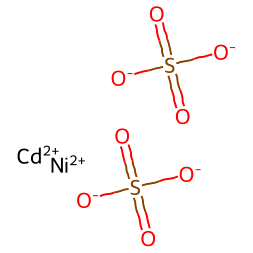 O=S(=O)([O-])[O-].O=S(=O)([O-])[O-].[Cd+2].[Ni+2]